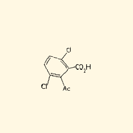 CC(=O)c1c(Cl)ccc(Cl)c1C(=O)O